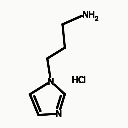 Cl.NCCCn1ccnc1